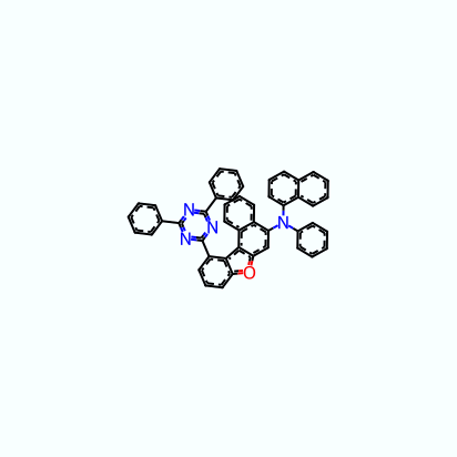 c1ccc(-c2nc(-c3ccccc3)nc(-c3cccc4oc5cc(N(c6ccccc6)c6cccc7ccccc67)c6ccccc6c5c34)n2)cc1